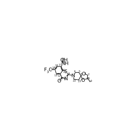 C[C@@H]1COC2(CCN(c3nc(=O)c4cc(C(F)(F)F)cc(NO)c4s3)CC2)O1